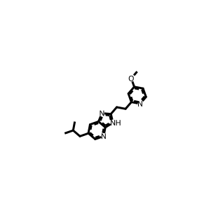 COc1ccnc(CCc2nc3cc(CC(C)C)cnc3[nH]2)c1